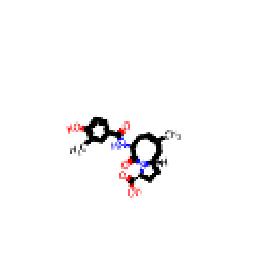 CC1=CC[C@H](NC(=O)c2ccc(O)c(C)c2)C(=O)N2[C@@H](CC[C@H]2C(=O)O)C1